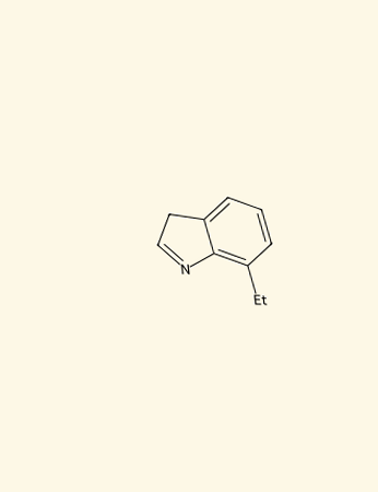 CCc1cccc2c1N=CC2